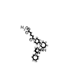 COC(=O)CCCC(=O)N1CCC(N2CCCCC(Nc3nccc(N4CCCCCC4)n3)C2)CC1